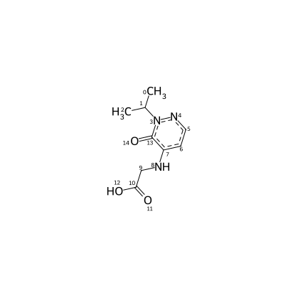 CC(C)n1nccc(NCC(=O)O)c1=O